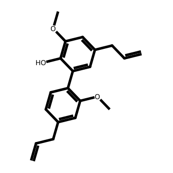 C=CCc1ccc(-c2cc(CC=C)cc(OC)c2O)c(OC)c1